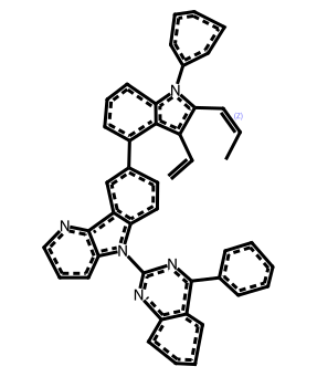 C=Cc1c(/C=C\C)n(-c2ccccc2)c2cccc(-c3ccc4c(c3)c3ncccc3n4-c3nc(-c4ccccc4)c4ccccc4n3)c12